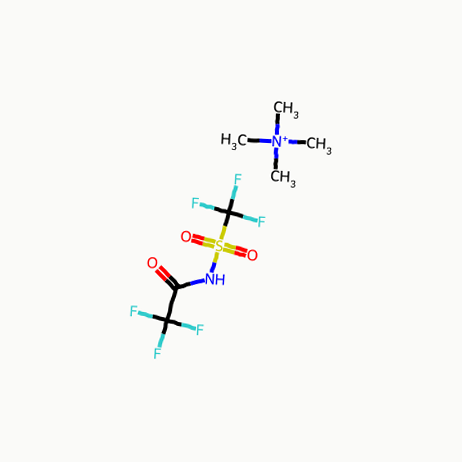 C[N+](C)(C)C.O=C(NS(=O)(=O)C(F)(F)F)C(F)(F)F